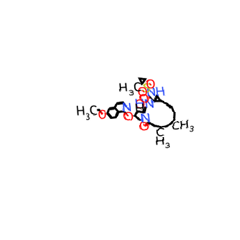 CCOc1ccc2c(O[C@@H]3C[C@H]4C(=O)N[C@]5(C(=O)NS(=O)(=O)C6(C)CC6)CC5/C=C\CC[C@H](C)C[C@@H](C)CC(=O)N4C3)nccc2c1